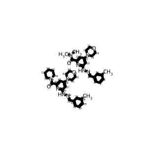 Cc1cccc(C=NNc2cc(N3CCOCC3)cc(C(=O)N(C)C)n2)c1.Cc1cccc(C=NNc2cc(N3CCOCC3)cc(C(=O)N3CCCCC3)n2)c1